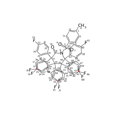 Cc1ccc(S(=O)(=O)N2C(=O)C(c3ccc(F)cc3)(c3ccc(F)cc3)C(c3ccc(F)cc3)(c3ccc(F)cc3)C(c3ccc(F)cc3)(c3ccc(F)cc3)C2(c2ccc(F)cc2)c2ccc(F)cc2)cc1